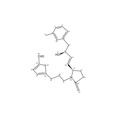 Cc1cccc(C[C@H](O)/C=C/[C@H]2CCC(=O)N2CCCc2ccc(C=O)s2)c1